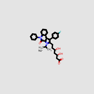 CC(C)n1c(CC[C@@H](O)C[C@@H](O)CC(=O)[O-])c(-c2ccc(F)cc2)c2c3ccccc3n(-c3ccccc3)c(=O)c21.[Na+]